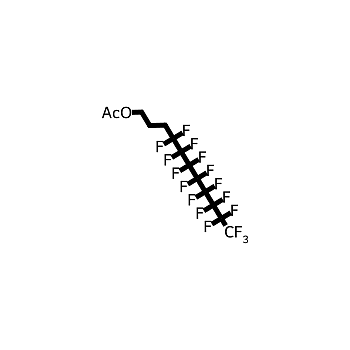 CC(=O)OCCCC(F)(F)C(F)(F)C(F)(F)C(F)(F)C(F)(F)C(F)(F)C(F)(F)C(F)(F)F